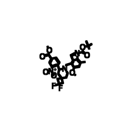 COC(=O)c1ccc(C2CC3(CCN2Cc2c(OC)cc(C)c4c2ccn4C(=O)OC(C)(C)C)CC(F)(F)C3)c([N+](=O)[O-])c1